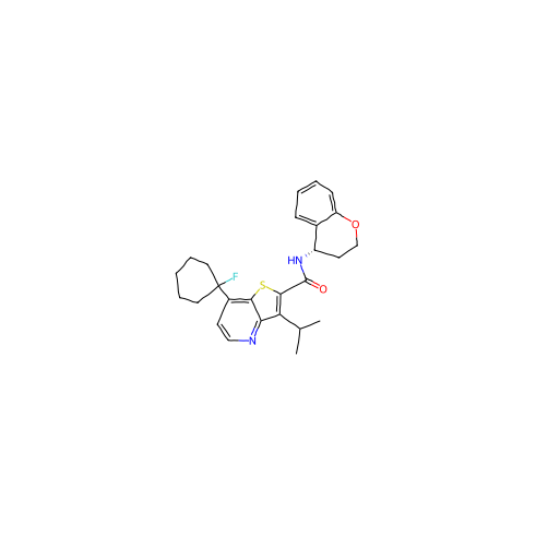 CC(C)c1c(C(=O)N[C@H]2CCOc3ccccc32)sc2c(C3(F)CCCCC3)ccnc12